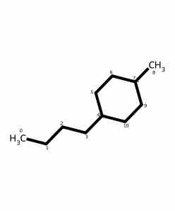 CCCCC1CC[C](C)CC1